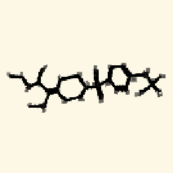 CCOC(=O)C(OC)=C1CCN(S(=O)(=O)c2ccc(OC(F)(F)F)cc2)CC1